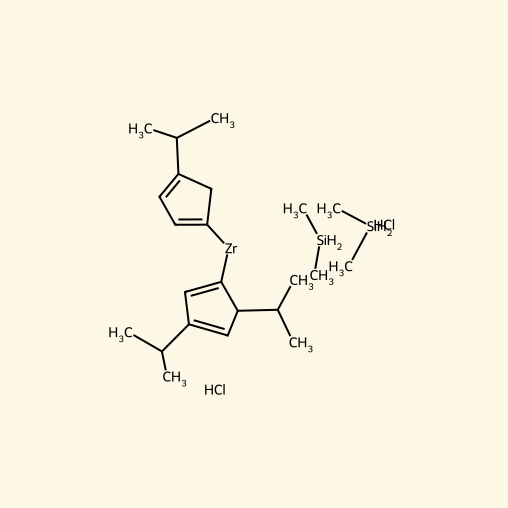 CC(C)C1=CC(C(C)C)[C]([Zr][C]2=CC=C(C(C)C)C2)=C1.C[SiH2]C.C[SiH2]C.Cl.Cl